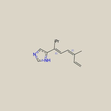 C=C/C(C)=C\C=C(\c1cnc[nH]1)C(C)C